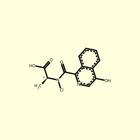 C[C@@H](C(=O)O)N(Cl)C(=O)c1ncc(O)c2ccccc12